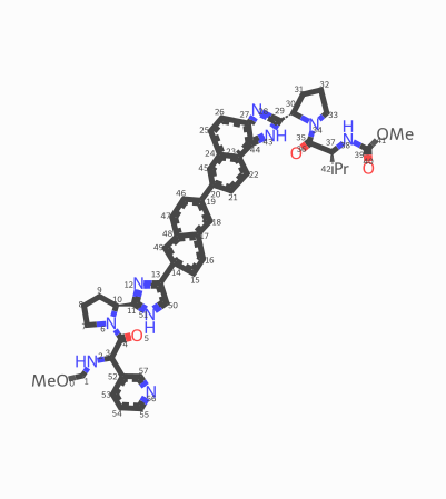 COCNC(C(=O)N1CCC[C@H]1c1nc(-c2ccc3cc(-c4ccc5c(ccc6nc([C@@H]7CCCN7C(=O)[C@@H](NC(=O)OC)C(C)C)[nH]c65)c4)ccc3c2)c[nH]1)c1cccnc1